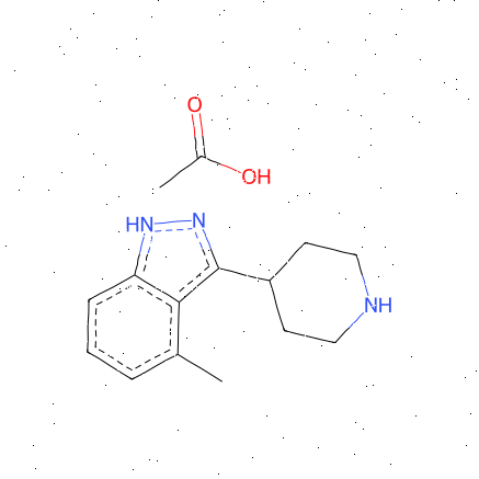 CC(=O)O.Cc1cccc2[nH]nc(C3CCNCC3)c12